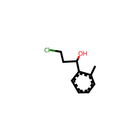 Cc1ccccc1C(O)CCCl